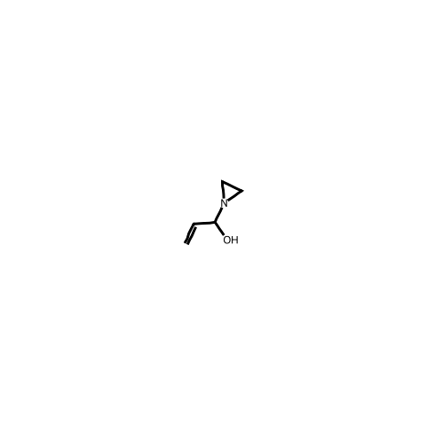 C=CC(O)N1CC1